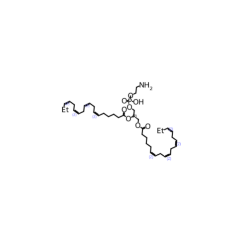 CC/C=C\C/C=C\C/C=C\C/C=C\CCCCC(=O)OC[C@H](COP(=O)(O)OCCN)OC(=O)CCCC/C=C\C/C=C\C/C=C\C/C=C\CC